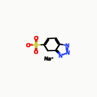 O=S(=O)([O-])C1=CC=C2N=NN=C2C1.[Na+]